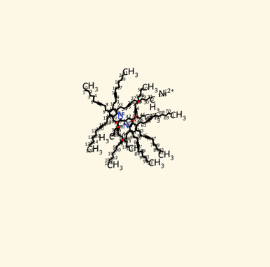 CCCCCCC#CCCc1c(CCC#CCCCCCC)c(CCC#CCCCCCC)c(/N=C(CCCCC)/C(CCCCCC)=N/c2c(CCC#CCCCCCC)c(CCC#CCCCCCC)c(CCC#CCCCCCC)c(CCC#CCCCCCC)c2CCC#CCCCCCC)c(CCC#CCCCCCC)c1CCC#CCCCCCC.[Ni+2]